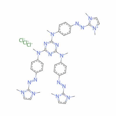 CN(c1ccc(/N=N/c2n(C)cc[n+]2C)cc1)c1nc(N(C)c2ccc(/N=N/c3n(C)cc[n+]3C)cc2)nc(N(C)c2ccc(/N=N/c3n(C)cc[n+]3C)cc2)n1.[Cl-].[Cl-].[Cl-]